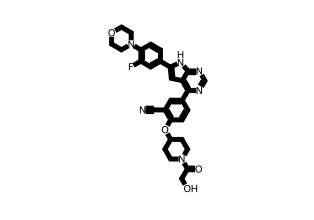 N#Cc1cc(-c2ncnc3[nH]c(-c4ccc(N5CCOCC5)c(F)c4)cc23)ccc1OC1CCN(C(=O)CO)CC1